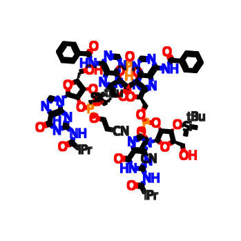 CC(C)C(=O)Nc1nc2c(ncn2[C@@H]2O[C@H](CO)[C@@H](O[Si](C)(C)C(C)(C)C)[C@H]2OP(OCCC#N)OC[C@@H]2C[C@@H](O[PH](=O)O[C@@H]3C[C@@H](COP(OCCC#N)O[C@@H]4[C@H](O[Si](C)(C)C(C)(C)C)[C@@H](CO)O[C@H]4n4cnc5c(=O)[nH]c(NC(=O)C(C)C)nc54)O[C@H]3n3cnc4c(NC(=O)c5ccccc5)ncnc43)[C@H](n3cnc4c(NC(=O)c5ccccc5)ncnc43)O2)c(=O)[nH]1